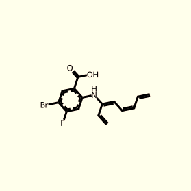 C=C/C=C\C=C(/C=C)Nc1cc(F)c(Br)cc1C(=O)O